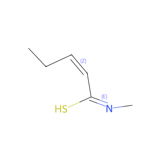 CC/C=C\C(S)=N/C